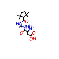 C[C@H](NC(=O)C1C(C)(C)CCC1(C)C)NC(=O)[C@@H](N)CC(=O)O